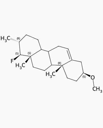 CO[C@H]1CC[C@@]2(C)C(=CCC3C2CC[C@@]2(C)C3CC[C@@H](C)[C@@H]2F)C1